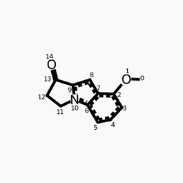 COc1cccc2c1cc1n2CCC1=O